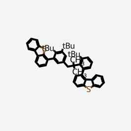 CC(C)(C)c1cc(CC(C)(C)c2c(-c3cccc4sc5ccccc5c34)cccc2C(C)(C)C)cc(-c2cccc3c2sc2ccccc23)c1C(C)(C)C